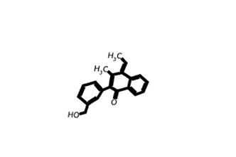 CC=C1C(C)=C(c2cccc(CO)c2)C(=O)c2ccccc21